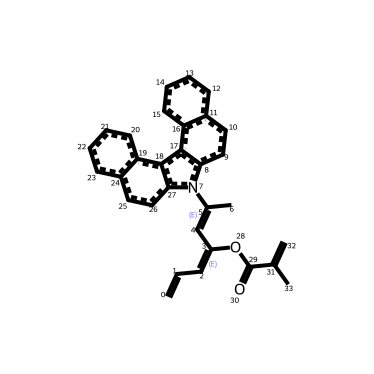 C=C/C=C(\C=C(/C)n1c2ccc3ccccc3c2c2c3ccccc3ccc21)OC(=O)C(=C)C